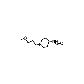 COCCCN1CCC(NC=O)CC1